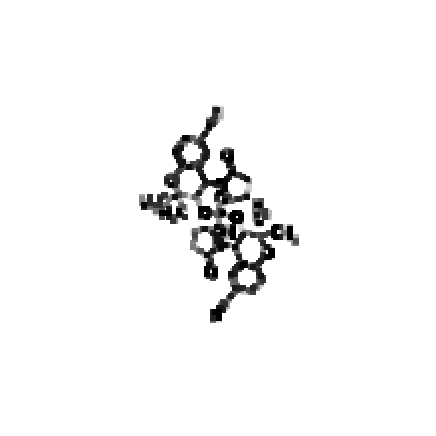 CC1(C)Oc2ccc(C#N)cc2[C@@H](N2CCCC2=O)[C@@H]1OP(=O)(O)O[C@H]1[C@H](N2CCCC2=O)c2cc(C#N)ccc2OC1(C)C